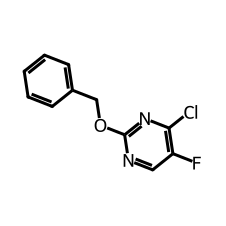 Fc1cnc(OCc2ccccc2)nc1Cl